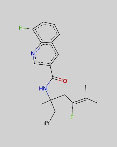 CC(C)=C(F)CC(C)(CC(C)C)NC(=O)c1cnc2c(F)cccc2c1